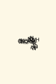 COc1ncccc1-c1ccc2[nH]c3ncnc(NC4CCC(N5CCOCC5)CC4)c3c2c1